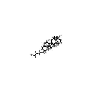 CCCCCC[C@]1(C)CC[C@]2(C)CC[C@]3(C)[C@H](CC[C@@H]4[C@@]5(C)CCCC(C)(C)[C@@H]5CC[C@]43C)[C@@H]2C1